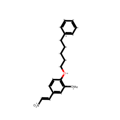 COc1cc(C=C[N+](=O)[O-])ccc1OCCCCCc1ccccc1